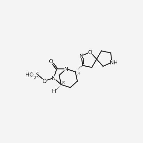 O=C1N2C[C@@H](CC[C@H]2C2=NOC3(CCNC3)C2)N1OS(=O)(=O)O